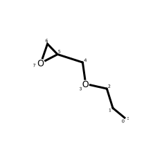 [CH]CCOCC1CO1